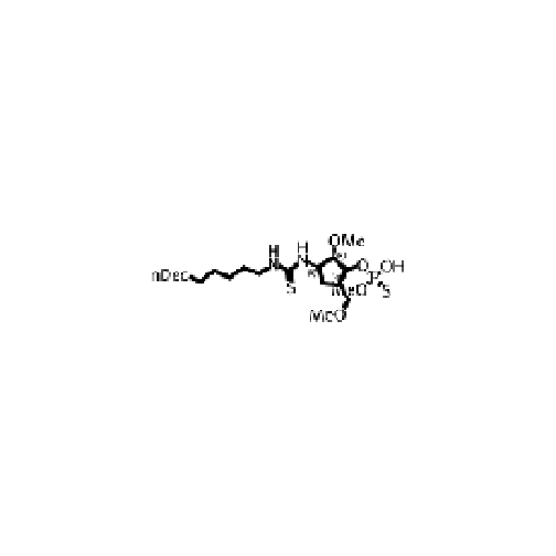 CCCCCCCCCCCCCCCNC(=S)N[C@@H]1C[C@H](COC)C(OP(O)(=S)OC)[C@@H]1OC